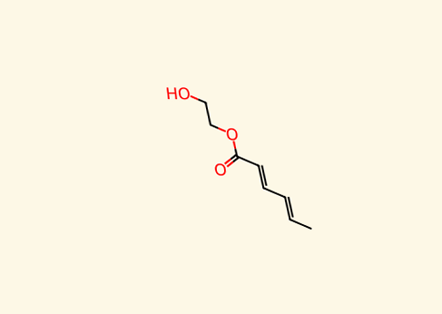 C/C=C/C=C/C(=O)OCCO